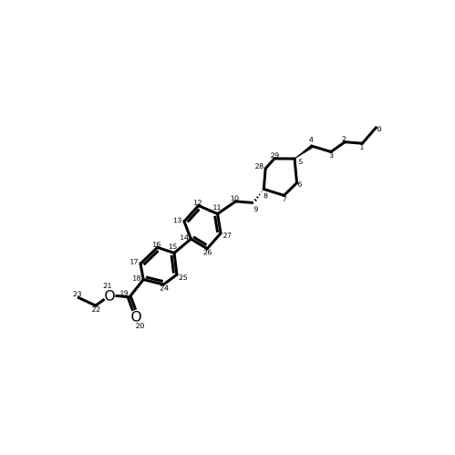 CCCCC[C@H]1CC[C@H](CCc2ccc(-c3ccc(C(=O)OCC)cc3)cc2)CC1